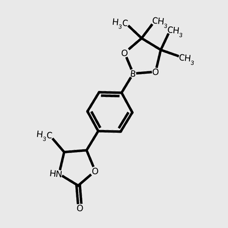 CC1NC(=O)OC1c1ccc(B2OC(C)(C)C(C)(C)O2)cc1